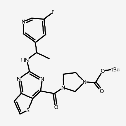 CC(Nc1nc(C(=O)N2CCN(C(=O)OC(C)(C)C)C2)c2sccc2n1)c1cncc(F)c1